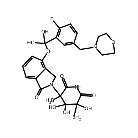 BC1(O)C(=O)NC(=O)C(B)(N2Cc3c(OC(O)(O)c4cc(CN5CCOCC5)ccc4F)cccc3C2=O)C1(O)O